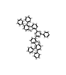 c1ccc(-c2nc(-c3cccc4c3oc3ccc(-c5ccccc5)c(-c5ccccc5)c34)nc(-c3cccc4c3oc3ccc(-c5ccccc5)c(-c5ccccc5)c34)n2)cc1